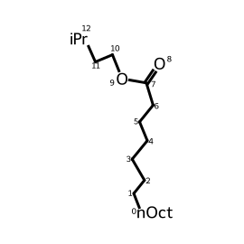 CCCCCCCCCCCCCCC(=O)OCCC(C)C